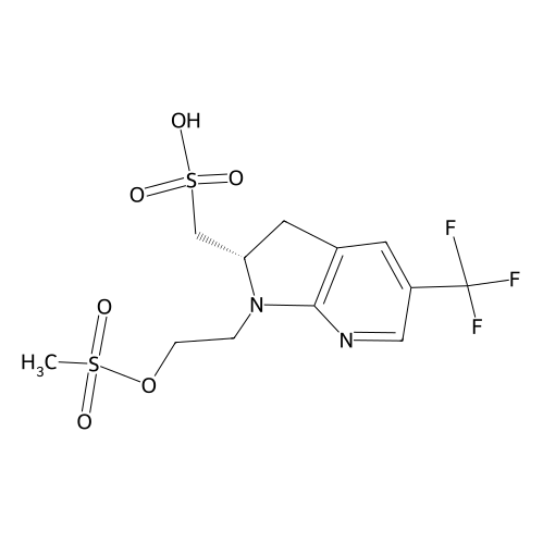 CS(=O)(=O)OCCN1c2ncc(C(F)(F)F)cc2C[C@H]1CS(=O)(=O)O